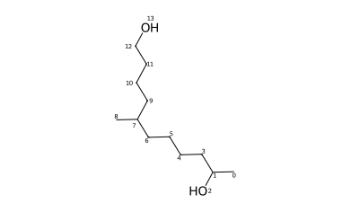 CC(O)CCCCC(C)CCCCO